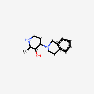 CC1NCCC(N2CCc3ccccc3C2)C1O